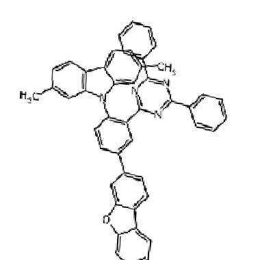 Cc1ccc2c3ccc(C)cc3n(-c3ccc(-c4ccc5c(c4)oc4ccccc45)cc3-c3nc(-c4ccccc4)nc(-c4ccccc4)n3)c2c1